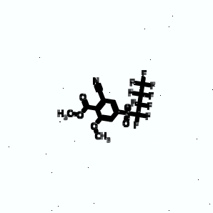 COC(=O)c1c(C#N)cc(S(=O)(=O)C(F)(F)C(F)(F)C(F)(F)C(F)(F)F)cc1OC